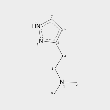 CN(C)CCc1[c]c[nH]n1